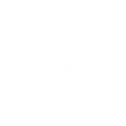 Cc1ccc(Sc2ccccc2)c(-c2ccccc2NC(=O)c2ccccn2)c1